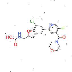 O=C(O)NCc1cc2cc(-c3cc(C(=O)N4CCOCC4)c(F)cn3)cc(Cl)c2o1